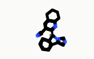 N#Cc1cc2c(nc1[C@@H]1c3ccccc3-c3cncn31)CCCC2